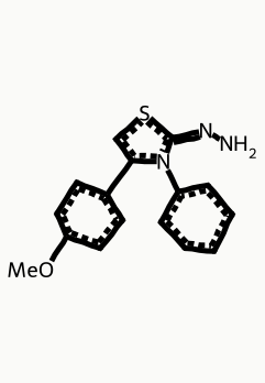 COc1ccc(-c2csc(=NN)n2-c2ccccc2)cc1